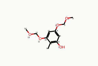 COCOc1cc(O)c(C)c(OCOC)c1